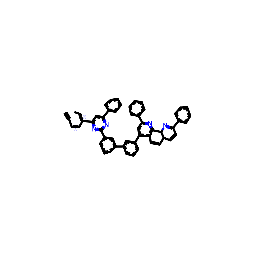 C#C/C=C\C(=C/C)c1cc(-c2ccccc2)nc(-c2cccc(-c3cccc(-c4cc(-c5ccccc5)nc5c4C=CC4C=CC(c6ccccc6)=NC54)c3)c2)n1